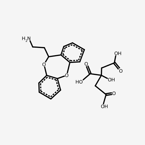 NCCC1Oc2ccccc2Oc2ccccc21.O=C(O)CC(O)(CC(=O)O)C(=O)O